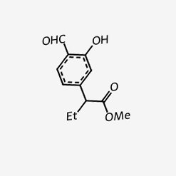 CCC(C(=O)OC)c1ccc(C=O)c(O)c1